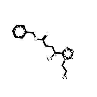 N#CCCn1nnnc1[C@@H](N)CCC(=O)OCc1ccccc1